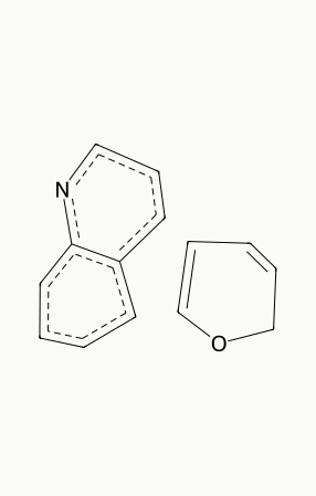 C1=CCOC=C1.c1ccc2ncccc2c1